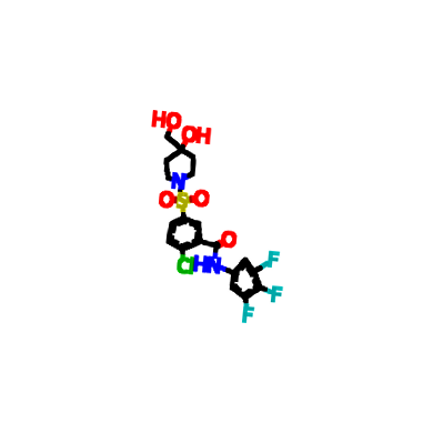 O=C(Nc1cc(F)c(F)c(F)c1)c1cc(S(=O)(=O)N2CCC(O)(CO)CC2)ccc1Cl